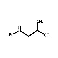 CC(CNC(C)(C)C)C(F)(F)F